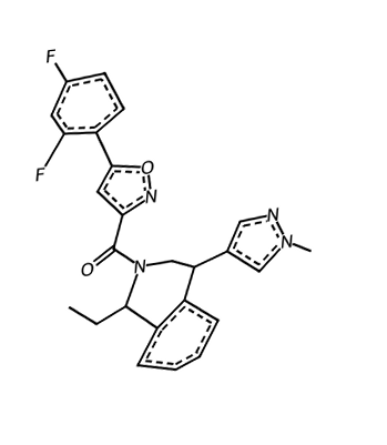 CCC1c2ccccc2C(c2cnn(C)c2)CN1C(=O)c1cc(-c2ccc(F)cc2F)on1